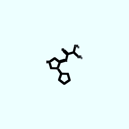 CC(C)C(=O)N=C1CNCN1C1CCCC1